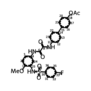 COc1ccc(NC(=O)C(=O)Nc2ccc(-c3ccc(OC(C)=O)cc3)cc2)cc1NS(=O)(=O)c1ccc(F)cc1